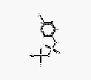 O=S(=O)(O)CS(=O)(=O)Oc1ccc(Cl)cc1